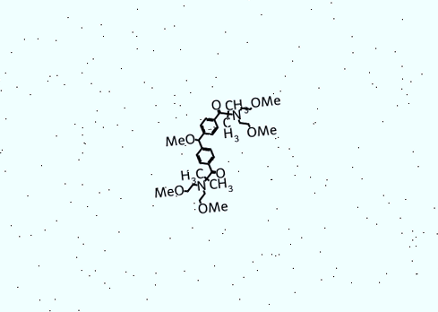 COCCN(CCOC)C(C)(C)C(=O)c1ccc(C(OC)c2ccc(C(=O)C(C)(C)N(CCOC)CCOC)cc2)cc1